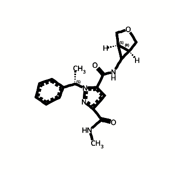 CNC(=O)c1cc(C(=O)NC2[C@H]3COC[C@@H]23)n([C@@H](C)c2ccccc2)n1